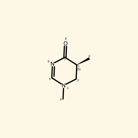 C[C@H]1CN(C)C=NC1=O